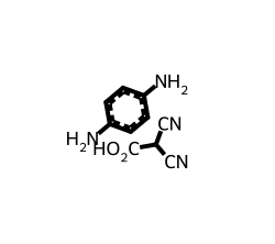 N#CC(C#N)C(=O)O.Nc1ccc(N)cc1